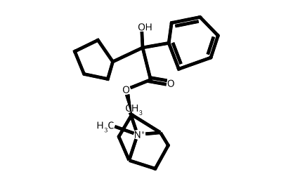 C[N+]1(C)C2CCC1[C@H](OC(=O)C(O)(c1ccccc1)C1CCCC1)C2